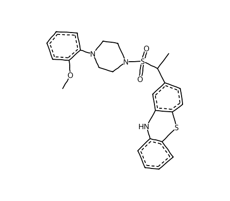 COc1ccccc1N1CCN(S(=O)(=O)C(C)c2ccc3c(c2)Nc2ccccc2S3)CC1